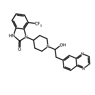 O=c1[nH]c2cccc(C(F)(F)F)c2n1C1CCN(C(O)Cc2ccc3nccnc3c2)CC1